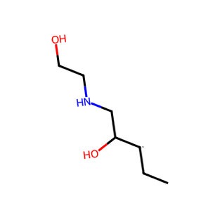 CC[CH]C(O)CNCCO